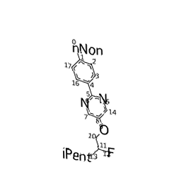 CCCCCCCCCc1ccc(-c2ncc(OCC(F)C(C)CCC)cn2)cc1